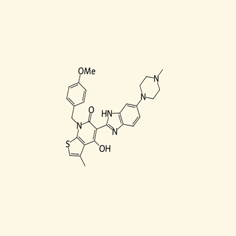 COc1ccc(Cn2c(=O)c(-c3nc4ccc(N5CCN(C)CC5)cc4[nH]3)c(O)c3c(C)csc32)cc1